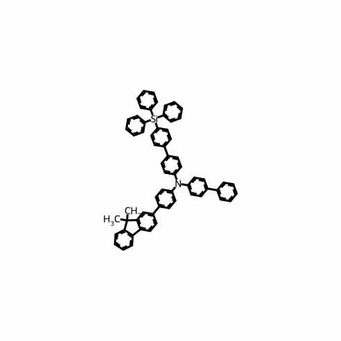 CC1(C)c2ccccc2-c2ccc(-c3ccc(N(c4ccc(-c5ccccc5)cc4)c4ccc(-c5ccc([Si](c6ccccc6)(c6ccccc6)c6ccccc6)cc5)cc4)cc3)cc21